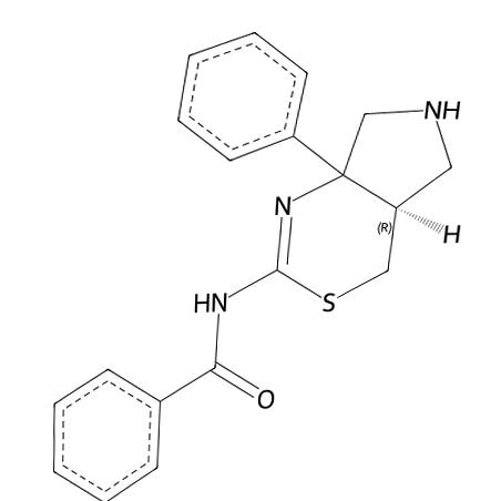 O=C(NC1=NC2(c3ccccc3)CNC[C@H]2CS1)c1ccccc1